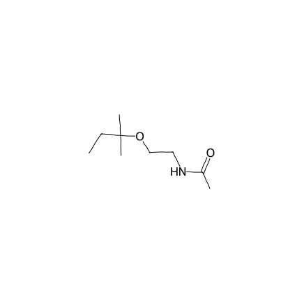 CCC(C)(C)OCCNC(C)=O